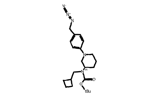 CC(C)(C)OC(=O)N(CC1CCC1)[C@@H]1CCCN(c2ccc(CN=[N+]=[N-])cc2)C1